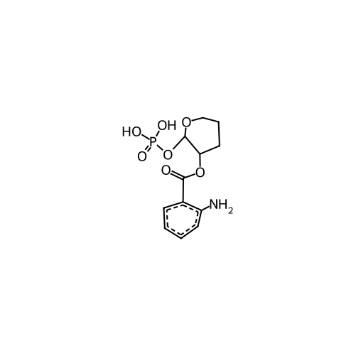 Nc1ccccc1C(=O)OC1CCCOC1OP(=O)(O)O